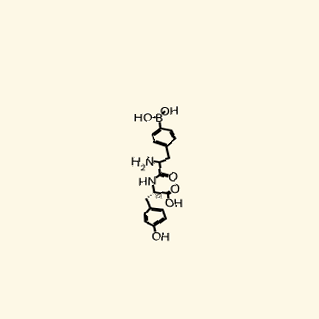 NC(Cc1ccc(B(O)O)cc1)C(=O)N[C@@H](Cc1ccc(O)cc1)C(=O)O